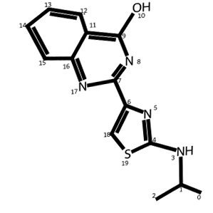 CC(C)Nc1nc(-c2nc(O)c3[c]cccc3n2)cs1